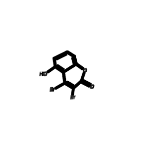 O=c1oc2cccc(O)c2c(Br)c1Br